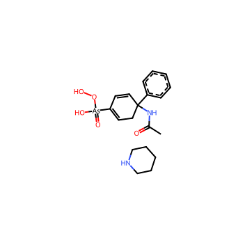 C1CCNCC1.CC(=O)NC1(c2ccccc2)C=CC([As](=O)(O)OO)=CC1